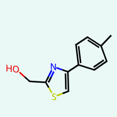 Cc1ccc(-c2csc(CO)n2)cc1